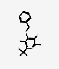 Fc1c(I)nc(C(F)(F)F)c(F)c1OCc1ccccc1